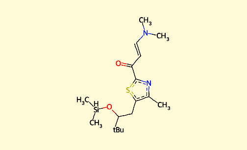 Cc1nc(C(=O)C=CN(C)C)sc1CC(O[SiH](C)C)C(C)(C)C